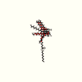 CCCCCCCCCOC(=O)CCCCCCCN(CCCNS(=O)(=O)CC)CCCC(C(C)CCCCCCCC)C(C(C)CCCCCCCC)(C(C)CCCCCCCC)C(C(C)CCCCCCCC)(C(C)CCCCCCCC)C(C(=O)O)(C(C)CCCCCCCC)C(C)CCCCCCCC